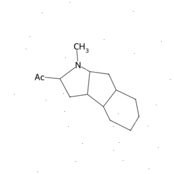 CC(=O)C1CC2C3CCCCC3CC2N1C